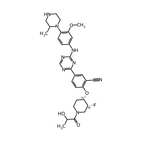 COc1cc(Nc2ncnc(-c3ccc(O[C@H]4CCN(C(=O)C(C)O)C[C@H]4F)c(C#N)c3)n2)ccc1N1CCNCC1C